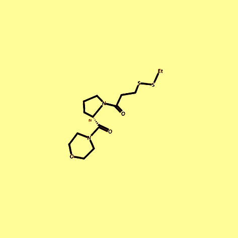 CCSSCCC(=O)N1CCC[C@H]1C(=O)N1CCOCC1